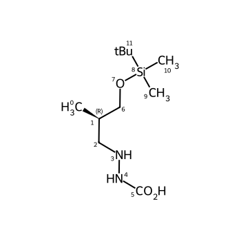 C[C@H](CNNC(=O)O)CO[Si](C)(C)C(C)(C)C